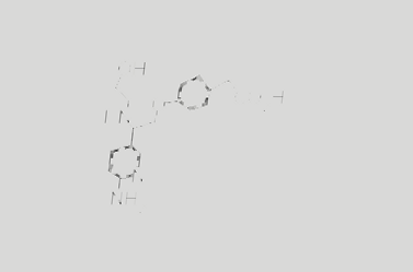 Nc1ccc(C(COc2ccc(CC(=O)O)cc2)NCCO)cn1